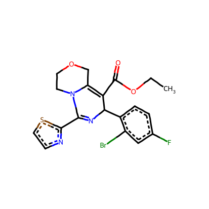 CCOC(=O)C1=C2COCCN2C(c2nccs2)=NC1c1ccc(F)cc1Br